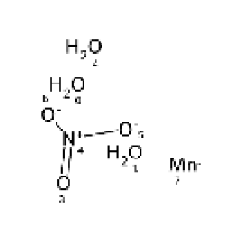 O.O.O.O=[N+]([O-])[O-].[Mn]